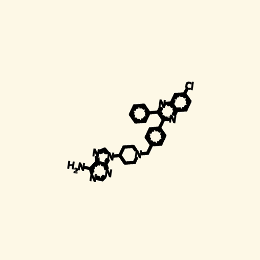 Nc1ncnc2c1ncn2C1CCN(Cc2ccc(-c3nc4ccc(Cl)cc4nc3-c3ccccc3)cc2)CC1